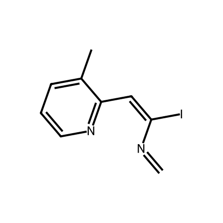 C=N/C(I)=C\c1ncccc1C